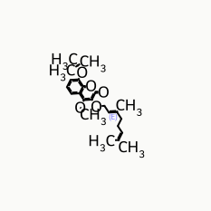 COc1c(OC/C=C(\C)CCC=C(C)C)c(=O)oc2c(OC(C)(C)C)cccc12